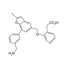 CCOC(=O)Cc1ccccc1OCc1cc(-c2cccc(CN)c2)c2oc(C)cc2c1